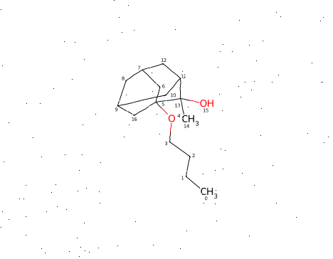 CCCCOC12CC3CC(CC(C3)C1(C)O)C2